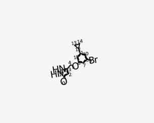 O=c1cc(COc2cc(Br)cc(C3CC3)c2)[nH][nH]1